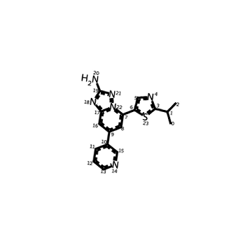 CC(C)c1ncc(-c2cc(-c3cccnc3)cc3nc(N)nn23)s1